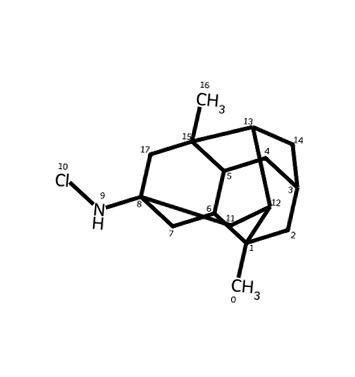 CC12CC3CC4C1CC1(NCl)CC2C(C3)C4(C)C1